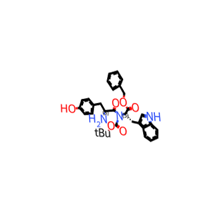 CC(C)(C)OC(=O)N(C(=O)[C@@H](N)Cc1ccc(O)cc1)[C@@H](Cc1c[nH]c2ccccc12)C(=O)OCc1ccccc1